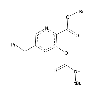 CC(C)Cc1cnc(C(=O)OC(C)(C)C)c(OC(=O)NC(C)(C)C)c1